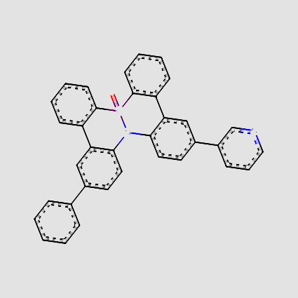 O=P12c3ccccc3-c3cc(-c4ccccc4)ccc3N1c1ccc(-c3cccnc3)cc1-c1ccccc12